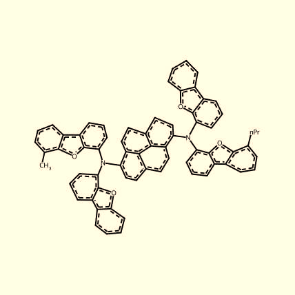 CCCc1cccc2c1oc1c(N(c3ccc4ccc5c(N(c6cccc7c6oc6ccccc67)c6cccc7c6oc6c(C)cccc67)ccc6ccc3c4c65)c3cccc4c3oc3ccccc34)cccc12